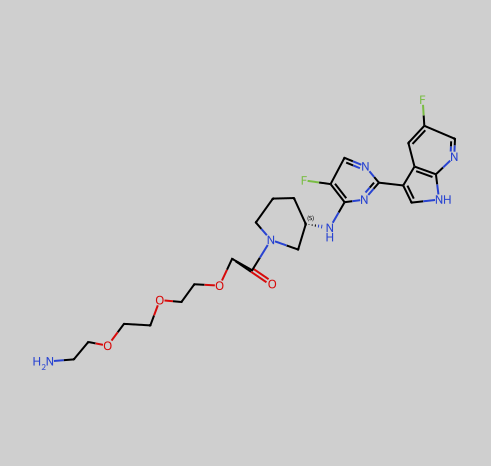 NCCOCCOCCOCC(=O)N1CCC[C@H](Nc2nc(-c3c[nH]c4ncc(F)cc34)ncc2F)C1